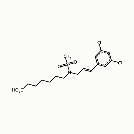 CS(=O)(=O)N(C/C=C/c1cc(Cl)cc(Cl)c1)CCCCCCC(=O)O